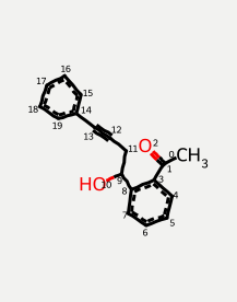 CC(=O)c1ccccc1C(O)CC#Cc1ccccc1